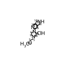 COCCN1CCN(c2cc3c(cn2)CNC3)CC1.Cl